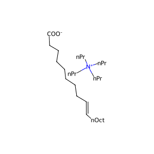 CCCCCCCCC=CCCCCCCCC(=O)[O-].CCC[N+](CCC)(CCC)CCC